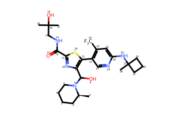 C[C@H]1CCCCN1C(O)c1nc(C(=O)NCC(C)(C)O)sc1-c1cnc(NC2(C)CCC2)cc1C(F)(F)F